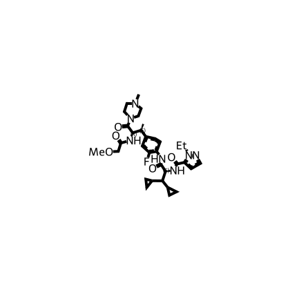 CCn1nccc1C(=O)N[C@H](C(=O)Nc1ccc([C@H](C)[C@@H](NC(=O)COC)C(=O)N2CCN(C)CC2)cc1F)C(C1CC1)C1CC1